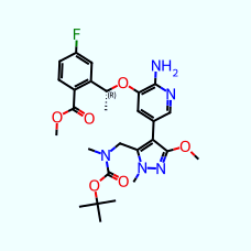 COC(=O)c1ccc(F)cc1[C@@H](C)Oc1cc(-c2c(OC)nn(C)c2CN(C)C(=O)OC(C)(C)C)cnc1N